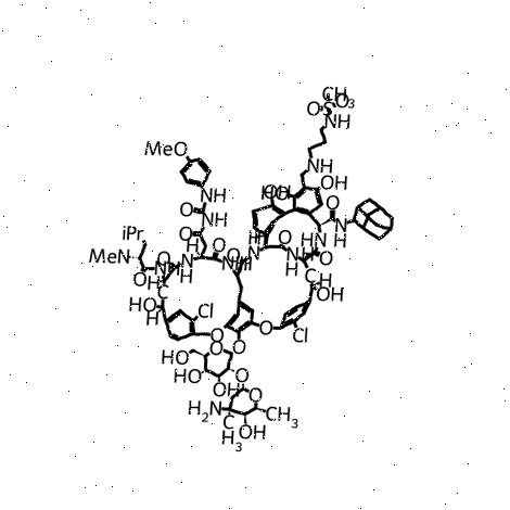 CN[C@H](CC(C)C)C(=O)N[C@@H]1C[C@H](O)c2ccc(c(Cl)c2)Oc2cc3cc(c2O[C@@H]2O[C@H](CO)[C@@H](O)[C@H](O)[C@H]2O[C@H]2C[C@](C)(N)[C@H](O)[C@H](C)O2)Oc2ccc(cc2Cl)[C@@H](O)C[C@@H]2NC(=O)[C@H](NC(=O)[C@@H](C3)NC(=O)[C@H](CC(=O)NC(=O)Nc3ccc(OC)cc3)NC1=O)c1ccc(O)c(c1)-c1c(cc(O)c(CNCCCNS(C)(=O)=O)c1O)[C@@H](C(=O)NC1C3CC4CC(C3)CC1C4)NC2=O